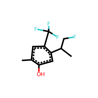 Cc1cc(C(F)(F)F)c(C(C)CF)cc1O